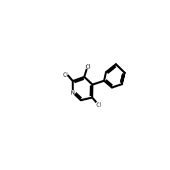 Clc1cnc(Cl)c(Cl)c1-c1ccccc1